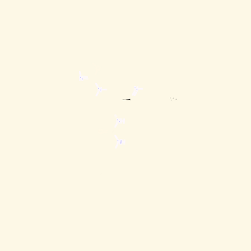 COc1ccc([C@@H]2CN(c3ncco3)CC[C@H]2NC(=O)Nc2ccc(Cl)cc2)nc1